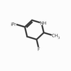 CC(C)C1=CNC(C)C(F)C1